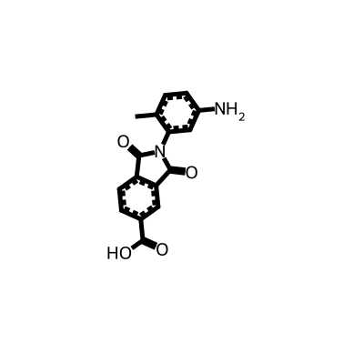 Cc1ccc(N)cc1N1C(=O)c2ccc(C(=O)O)cc2C1=O